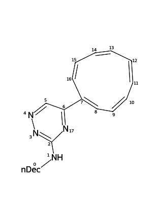 CCCCCCCCCCNc1nncc(-c2ccccccccc2)n1